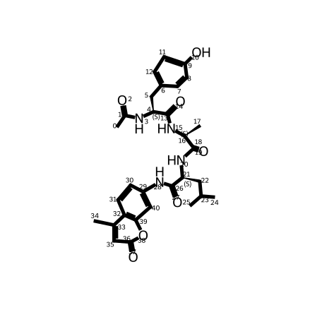 CC(=O)N[C@@H](Cc1ccc(O)cc1)C(=O)N[C@@H](C)C(=O)N[C@@H](CC(C)C)C(=O)Nc1ccc2c(C)cc(=O)oc2c1